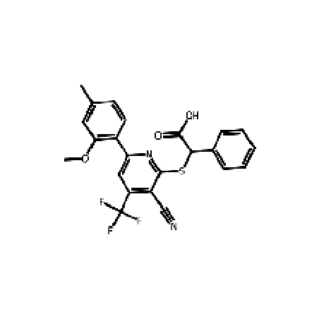 COc1cc(C)ccc1-c1cc(C(F)(F)F)c(C#N)c(SC(C(=O)O)c2ccccc2)n1